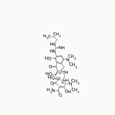 CC(C)CNC(=N)Nc1cc(N(C)C)c2c(c1O)C(=O)C1=C(O)[C@@]3(O)C(=O)C(C(N)=O)=C(O)C(N(C)C)[C@H]3C[C@H]1C2